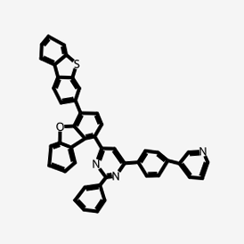 c1ccc(-c2nc(-c3ccc(-c4cccnc4)cc3)cc(-c3ccc(-c4ccc5c(c4)sc4ccccc45)c4oc5ccccc5c34)n2)cc1